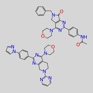 CC(=O)Nc1ccc(-c2nc3c(c(N4CCOCC4)n2)CN(Cc2ccccc2)C3=O)cc1.c1cnc(N2CCc3c(nc(-c4ccc(-n5cccn5)cc4)nc3N3CCOCC3)C2)nc1